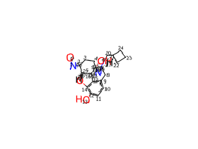 O=N[C@H]1CC[C@@]2(O)[C@H]3Cc4ccc(O)c5c4[C@@]2(CCN3CC2CCC2)[C@H]1O5